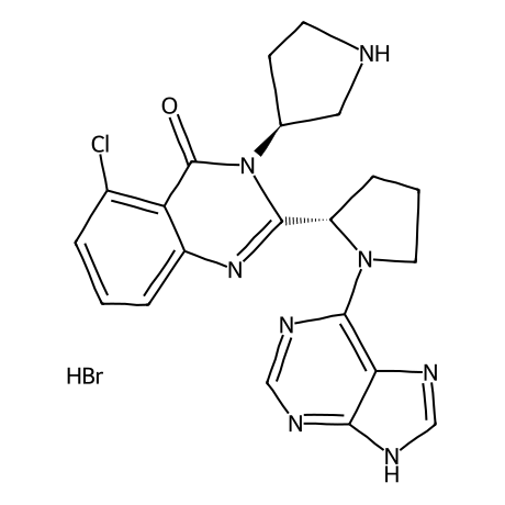 Br.O=c1c2c(Cl)cccc2nc([C@@H]2CCCN2c2ncnc3[nH]cnc23)n1[C@H]1CCNC1